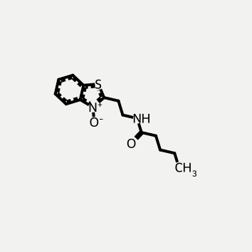 CCCCC(=O)NCCc1sc2ccccc2[n+]1[O-]